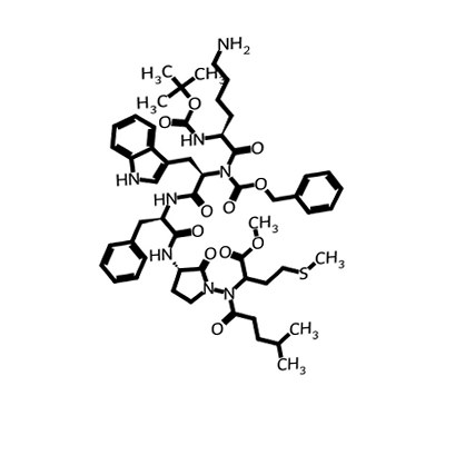 COC(=O)C(CCSC)N(C(=O)CCC(C)C)N1CC[C@H](NC(=O)[C@@H](Cc2ccccc2)NC(=O)[C@@H](Cc2c[nH]c3ccccc23)N(C(=O)OCc2ccccc2)C(=O)[C@H](CCCCN)NC(=O)OC(C)(C)C)C1=O